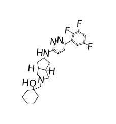 OC1(CN2C[C@H]3C[C@H](Nc4ccc(-c5cc(F)cc(F)c5F)nn4)C[C@H]3C2)CCCCC1